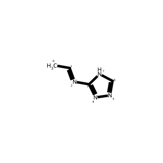 C/C=N/c1nnc[nH]1